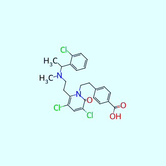 CC(c1ccccc1Cl)N(C)CCc1c(Cl)cc(Cl)c(=O)n1CCc1ccc(C(=O)O)cc1